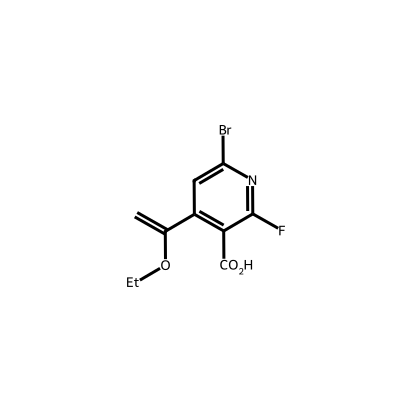 C=C(OCC)c1cc(Br)nc(F)c1C(=O)O